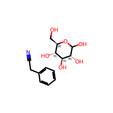 N#CCc1ccccc1.OC[C@H]1OC(O)[C@H](O)[C@@H](O)[C@@H]1O